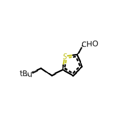 CC(C)(C)CCc1ccc(C=O)s1